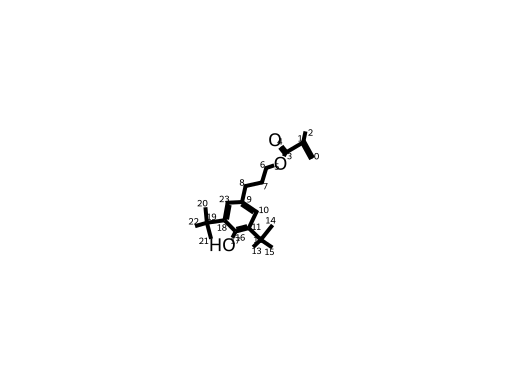 C=C(C)C(=O)OCCCc1cc(C(C)(C)C)c(O)c(C(C)(C)C)c1